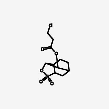 O=C(CCCl)OC1C2CCC3C1OS(=O)(=O)C3C2